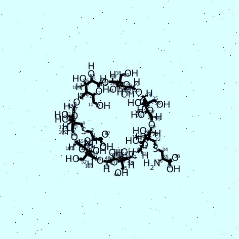 N[C@H](CSCC1O[C@@H]2O[C@@H]3C(CO)O[C@H](O[C@@H]4C(CO)O[C@H](O[C@@H]5C(CO)O[C@H](O[C@@H]6C(CSC[C@@H](N)C(=O)O)O[C@H](C[C@@H]7C(CO)O[C@H](O[C@@H]8C(CO)O[C@H](O[C@H]1[C@H](O)C2O)C(O)[C@H]8O)C(O)[C@H]7O)C(O)[C@H]6O)C(O)[C@H]5O)C(O)[C@H]4O)C(O)[C@H]3O)C(=O)O